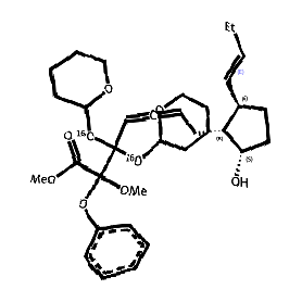 CC/C=C/[C@H]1CC[C@H](O)[C@@H]1CC=C=CC([16O]C1CCCCO1)([16O]C1CCCCO1)C(OC)(Oc1ccccc1)C(=O)OC